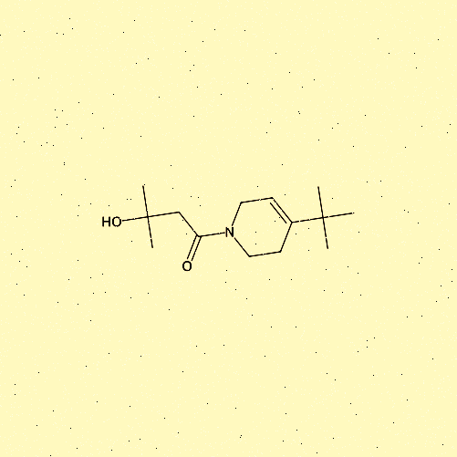 CC(C)(O)CC(=O)N1CC=C(C(C)(C)C)CC1